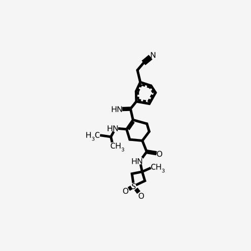 CC(C)NC1=C(C(=N)c2cccc(CC#N)c2)CCC(C(=O)NC2(C)CS(=O)(=O)C2)C1